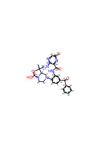 CC(C)(C)C1CN(c2ccc(C(=O)c3ccccc3)cc2NC(=O)c2nc(Br)cnc2N)CCN1C(=O)O